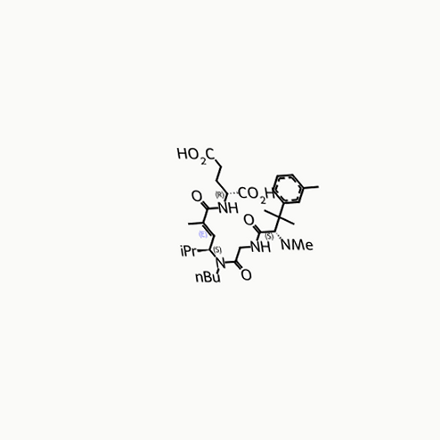 CCCCN(C(=O)CNC(=O)[C@@H](NC)C(C)(C)c1cccc(C)c1)[C@H](/C=C(\C)C(=O)N[C@H](CCC(=O)O)C(=O)O)C(C)C